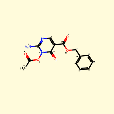 CC(=O)On1c(N)ncc(C(=O)OCc2ccccc2)c1=O